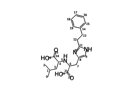 CC(C)CC(NC(Cc1c[nH]c(CCc2ccccc2)n1)C(=O)O)C(=O)O